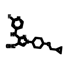 O=Cc1cn(C2CCC(OCC3CC3)CC2)nc1Nc1ccnc(F)c1